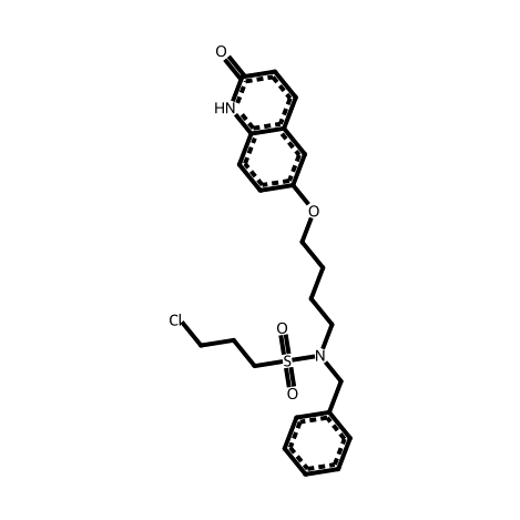 O=c1ccc2cc(OCCCCN(Cc3ccccc3)S(=O)(=O)CCCCl)ccc2[nH]1